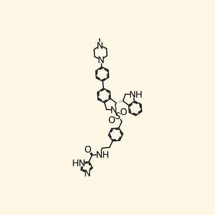 CN1CCN(c2ccc(-c3ccc4c(c3)[C@H](C3CNc5ccccc53)N(S(=O)(=O)Cc3ccc(CCNC(=O)c5cnc[nH]5)cc3)C4)cc2)CC1